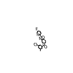 Cc1cc(Cl)cc(C(=O)N2CCc3oc(-c4ccc(F)cn4)nc3C2)c1